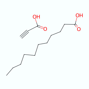 C#CC(=O)O.CCCCCCCCCCC(=O)O